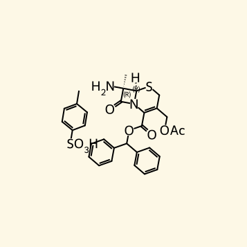 CC(=O)OCC1=C(C(=O)OC(c2ccccc2)c2ccccc2)N2C(=O)[C@@](C)(N)[C@H]2SC1.Cc1ccc(S(=O)(=O)O)cc1